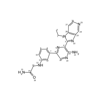 CCn1c(-c2nc(-c3cccc(NCC(N)=O)c3)cnc2N)nc2cnccc21